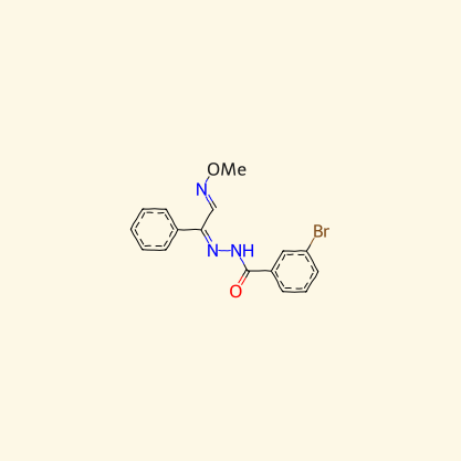 CO/N=C/C(=N\NC(=O)c1cccc(Br)c1)c1ccccc1